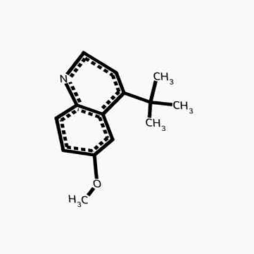 COc1ccc2nccc(C(C)(C)C)c2c1